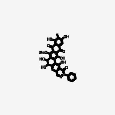 COc1c2c(c(O)c3c1C(O)C(O)c1cc4cnn(-c5ccccc5)c(=O)c4c(O)c1-3)C(=O)c1cc(O)c(C)c(O)c1C2=O